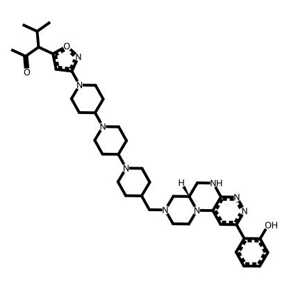 CC(=O)C(c1cc(N2CCC(N3CCC(N4CCC(CN5CCN6c7cc(-c8ccccc8O)nnc7NC[C@H]6C5)CC4)CC3)CC2)no1)C(C)C